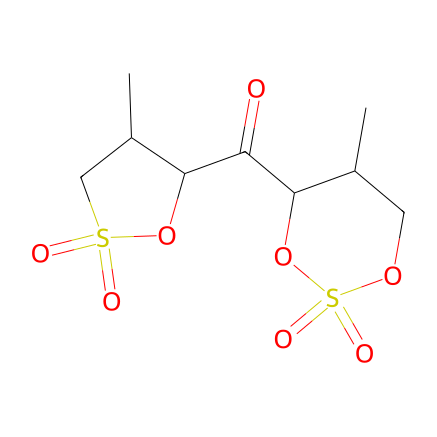 CC1CS(=O)(=O)OC1C(=O)C1OS(=O)(=O)OCC1C